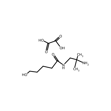 CC(C)(N)CNC(=O)CCCCO.O=C(O)C(=O)O